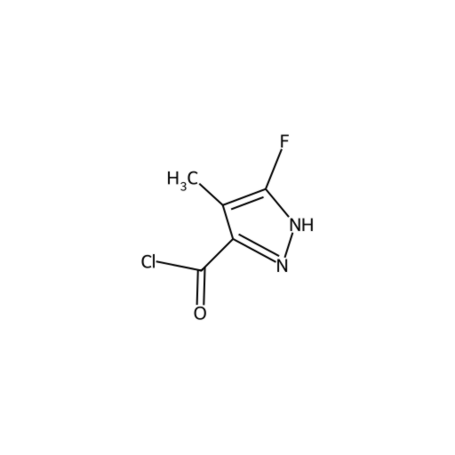 Cc1c(C(=O)Cl)n[nH]c1F